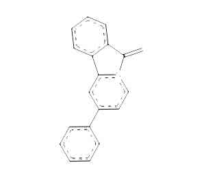 C=C1c2ccccc2-c2cc(-c3ccccc3)cc[n+]21